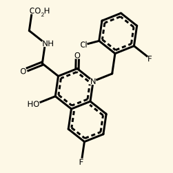 O=C(O)CNC(=O)c1c(O)c2cc(F)ccc2n(Cc2c(F)cccc2Cl)c1=O